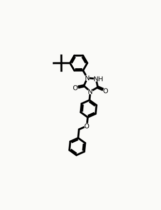 CC(C)(C)c1cccc(-n2[nH]c(=O)n(-c3ccc(OCc4ccccc4)cc3)c2=O)c1